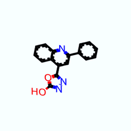 Oc1nnc(-c2cc(-c3ccccc3)nc3ccccc23)o1